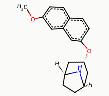 COc1ccc2ccc(O[C@@H]3C[C@H]4CC[C@@H](C3)N4)cc2c1